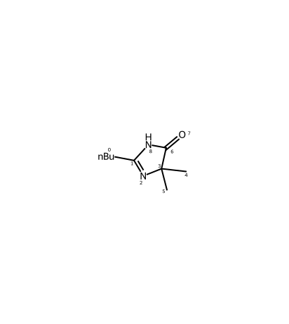 CCCCC1=NC(C)(C)C(=O)N1